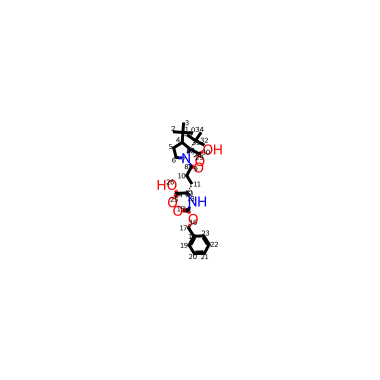 CC(C)(C)C1CCN(C(=O)CC[C@H](NC(=O)OCc2ccccc2)C(=O)O)[C@@]1(C(=O)O)C(C)(C)C